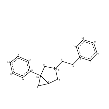 c1ccc(CCN2CC3CC3(c3ccccc3)C2)cc1